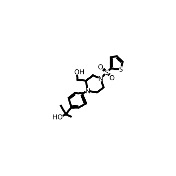 CC(C)(O)c1ccc(N2CCN(S(=O)(=O)c3cccs3)CC2CO)cc1